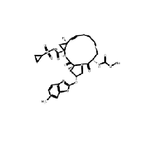 Cc1ccc2nc(O[C@@H]3C[C@H]4C(=O)N[C@]5(C(=O)NS(=O)(=O)C6CC6)C[C@H]5/C=C\CCCCC[C@H](NC(=O)OC(C)(C)C)C(=O)N4C3)oc2c1